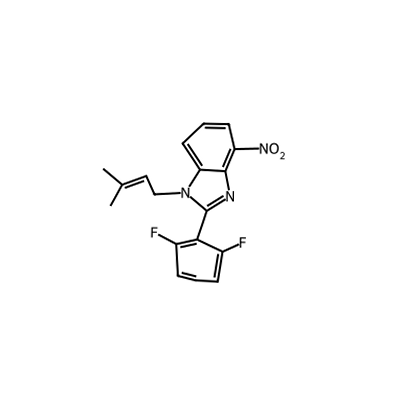 CC(C)=CCn1c(-c2c(F)cccc2F)nc2c([N+](=O)[O-])cccc21